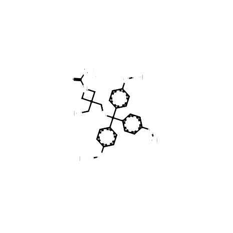 COc1ccc(C(OCC2(CO)CN(C(N)=O)C2)(c2ccc(OC)cc2)c2ccc(OC)cc2)cc1